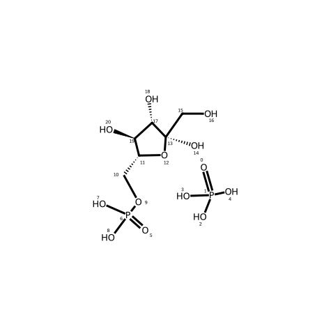 O=P(O)(O)O.O=P(O)(O)OC[C@H]1O[C@](O)(CO)[C@@H](O)[C@@H]1O